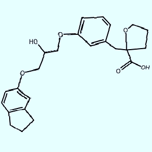 O=C(O)C1(Cc2cccc(OCC(O)COc3ccc4c(c3)CCC4)c2)CCCO1